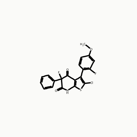 COc1ccc(-c2c(Cl)sc3c2C(=O)C(F)(c2ccccc2)C(=O)N3)c(F)c1